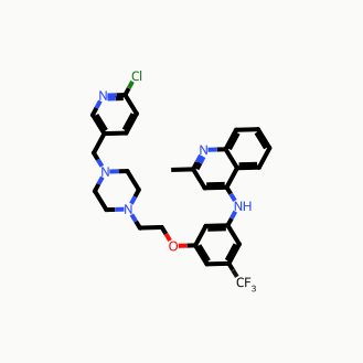 Cc1cc(Nc2cc(OCCN3CCN(Cc4ccc(Cl)nc4)CC3)cc(C(F)(F)F)c2)c2ccccc2n1